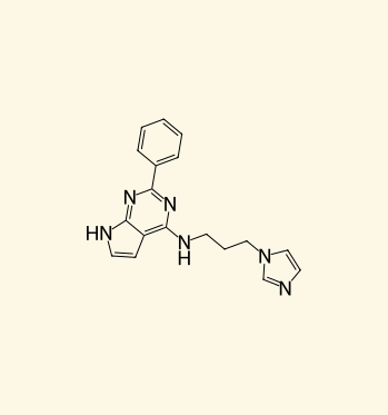 c1ccc(-c2nc(NCCCn3ccnc3)c3cc[nH]c3n2)cc1